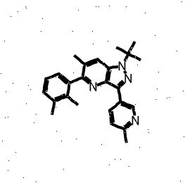 Cc1ccc(-c2nn(C(C)(C)C)c3cc(C)c(-c4cccc(C)c4C)nc23)cn1